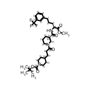 COC(=O)[C@H](CCCc1cccc(C(F)(F)F)c1)NC(=O)[C@@H]1CCCN(C(=O)CCC2CCN(C(=O)OC(C)(C)C)CC2)C1